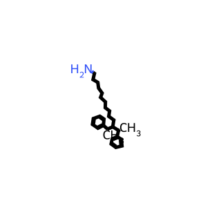 CC(c1ccccc1)C(CCCCCCCCCCCN)C(C)c1ccccc1